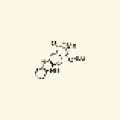 COC(=O)/C(=C/c1nc2ccccc2[nH]c1=O)NC(=O)OC(C)(C)C